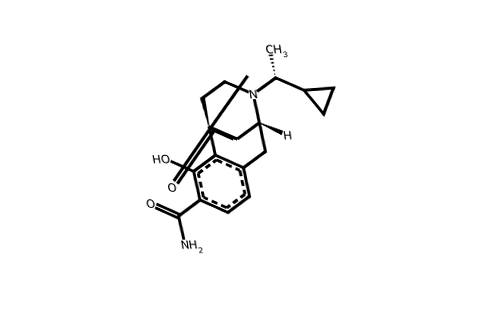 C[C@H](C1CC1)N1CC[C@]23CC(=O)CCC2[C@H]1Cc1ccc(C(N)=O)c(O)c13